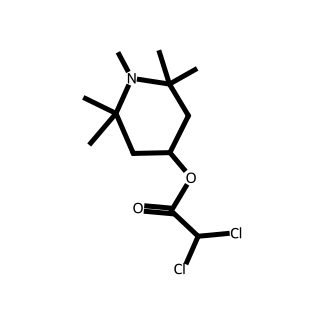 CN1C(C)(C)CC(OC(=O)C(Cl)Cl)CC1(C)C